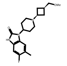 COC[C@H]1C[C@@H](N2CCC(n3c(=O)[nH]c4cc(F)c(C)cc43)CC2)C1